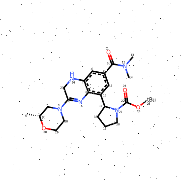 C[C@@H]1CN(C2=Nc3c(cc(C(=O)N(C)C)cc3C3CCCN3C(=O)OC(C)(C)C)NC2)CCO1